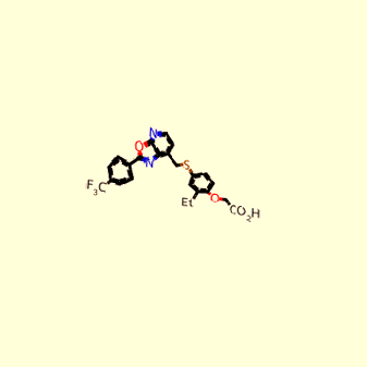 CCc1cc(SCc2ccnc3oc(-c4ccc(C(F)(F)F)cc4)nc23)ccc1OCC(=O)O